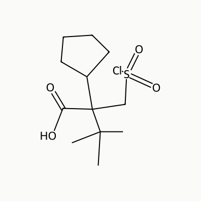 CC(C)(C)C(CS(=O)(=O)Cl)(C(=O)O)C1CCCC1